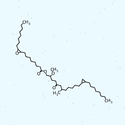 CCCCCCCCC1CC1CCCCCC(C)CC(=O)CCC(COC(=O)CCCCCCCC1OC1CCCCCCCC)OC